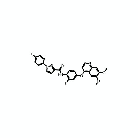 COc1cc2nccc(Oc3ccc(NC(=O)c4ccn(-c5ccc(F)cc5)n4)c(F)c3)c2cc1OC